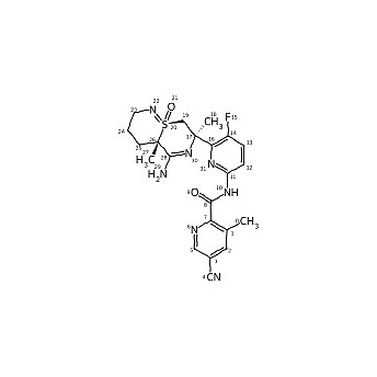 Cc1cc(C#N)cnc1C(=O)Nc1ccc(F)c([C@]2(C)C[S@]3(=O)=NCCC[C@@]3(C)C(N)=N2)n1